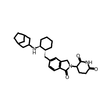 O=C1CCC(N2Cc3cc(C[C@H]4CCCC[C@@H]4NC4CC5CCC(C5)C4)ccc3C2=O)C(=O)N1